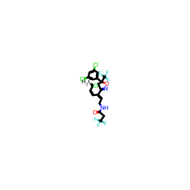 C=C(Cl)/C=C\C(=C/CNC(=O)CC(F)(F)F)C1=NOC(c2cc(Cl)cc(Cl)c2)(C(F)(F)F)C1